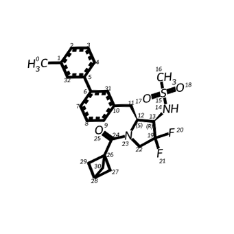 Cc1cccc(-c2cccc(C[C@H]3[C@@H](NS(C)(=O)=O)C(F)(F)CN3C(=O)C34CC(C3)C4)c2)c1